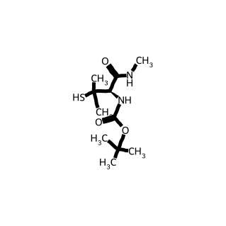 CNC(=O)[C@@H](NC(=O)OC(C)(C)C)C(C)(C)S